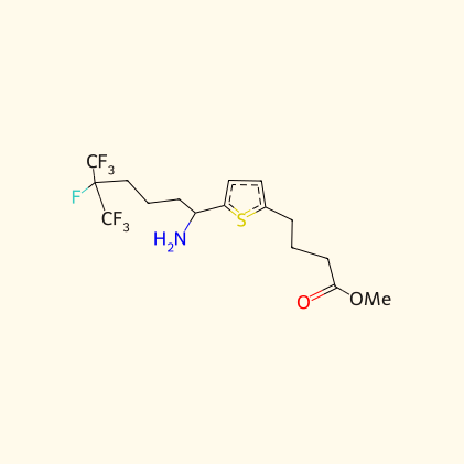 COC(=O)CCCc1ccc(C(N)CCCC(F)(C(F)(F)F)C(F)(F)F)s1